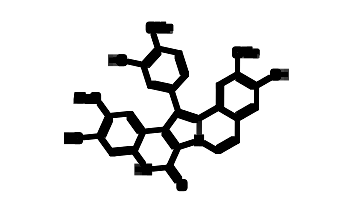 COc1ccc(-c2c3c4cc(OC)c(O)cc4[nH]c(=O)c3n3ccc4cc(O)c(OC)cc4c23)cc1O